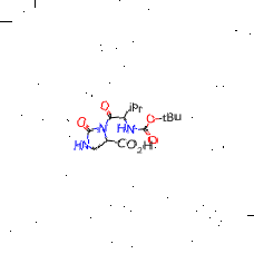 CC(C)C(NC(=O)OC(C)(C)C)C(=O)N1C(=O)NCC1C(=O)O